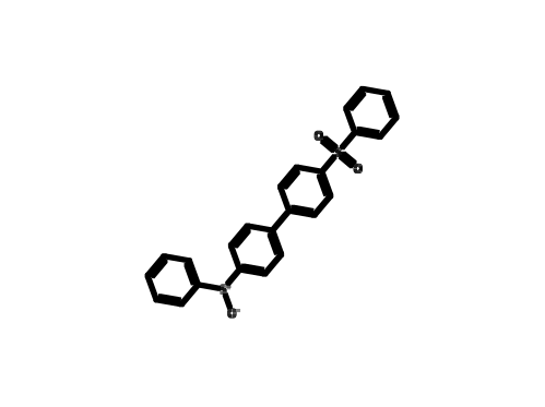 O=S(=O)(c1ccccc1)c1ccc(-c2ccc([S+]([O-])c3ccccc3)cc2)cc1